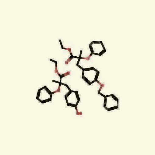 CCOC(=O)C(C)(Cc1ccc(O)cc1)Oc1ccccc1.CCOC(=O)C(C)(Cc1ccc(OCc2ccccc2)cc1)Oc1ccccc1